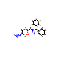 NC1CCC(CNC(c2ccccc2)c2ccccc2)OC1